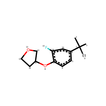 CCC(C)(C)c1ccc(OC2CCOC2)c(F)c1